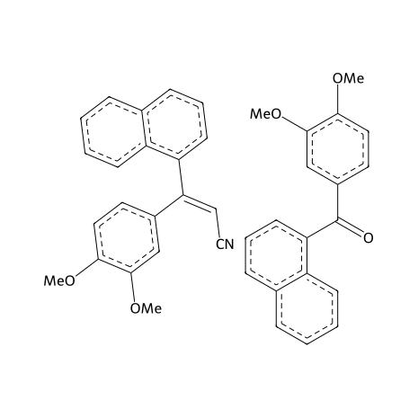 COc1ccc(C(=CC#N)c2cccc3ccccc23)cc1OC.COc1ccc(C(=O)c2cccc3ccccc23)cc1OC